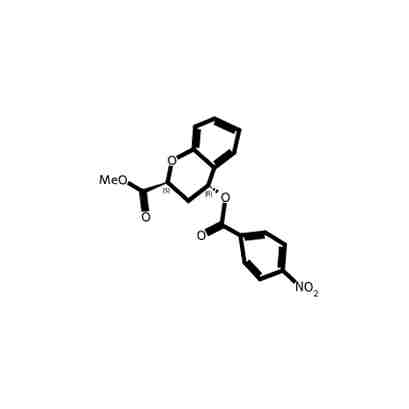 COC(=O)[C@@H]1C[C@@H](OC(=O)c2ccc([N+](=O)[O-])cc2)c2ccccc2O1